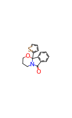 O=C1c2ccccc2C2(c3cccs3)OCCCN12